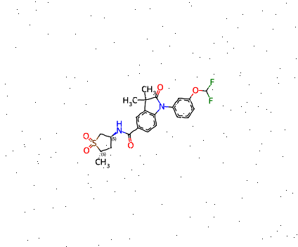 C[C@H]1C[C@H](NC(=O)c2ccc3c(c2)C(C)(C)C(=O)N3c2cccc(OC(F)F)c2)CS1(=O)=O